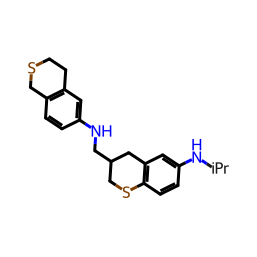 CC(C)Nc1ccc2c(c1)CC(CNc1ccc3c(c1)CCSC3)CS2